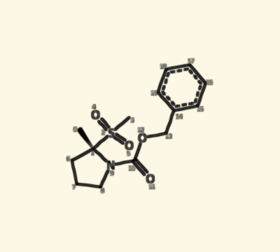 C[C@]1(S(C)(=O)=O)CCCN1C(=O)OCc1ccccc1